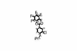 CC(C)Cc1ccc(C(=O)Oc2c(F)c(F)c(F)c(F)c2F)cc1Cl